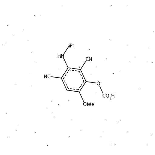 COc1cc(C#N)c(NC(C)C)c(C#N)c1OC(=O)O